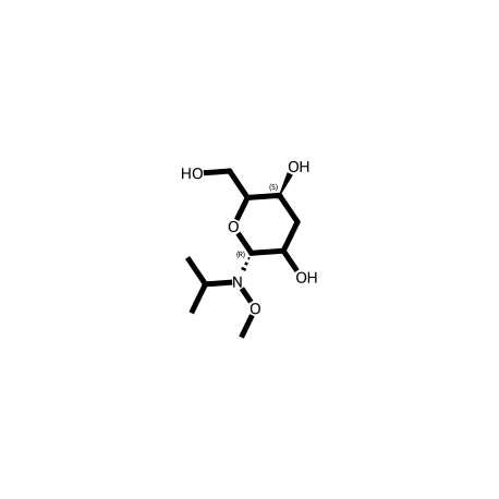 CON(C(C)C)[C@@H]1OC(CO)[C@@H](O)CC1O